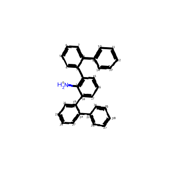 Nc1c(-c2ccccc2-c2ccccc2)cccc1-c1ccccc1-c1ccccc1